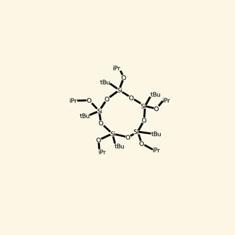 CC(C)O[Si]1(C(C)(C)C)O[Si](OC(C)C)(C(C)(C)C)O[Si](OC(C)C)(C(C)(C)C)O[Si](OC(C)C)(C(C)(C)C)O[Si](OC(C)C)(C(C)(C)C)O1